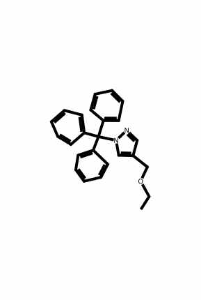 CCOCc1cnn(C(c2ccccc2)(c2ccccc2)c2ccccc2)c1